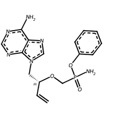 C=C[C@H](Cn1cnc2c(N)ncnc21)OCP(N)(=O)Oc1ccccc1